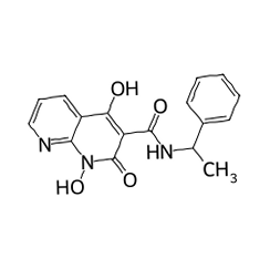 CC(NC(=O)c1c(O)c2cccnc2n(O)c1=O)c1ccccc1